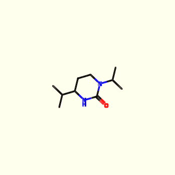 CC(C)C1CCN(C(C)C)C(=O)N1